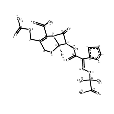 CC(=O)OCC1=C(C(=O)O)N2C(=O)[C@@H](NC(=O)/C(=N/OC(C)(C)C(=O)O)c3cccs3)[C@H]2SC1